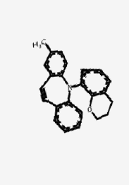 Cc1ccc2c(c1)C=Cc1ccccc1N2c1cccc2c1OCCC2